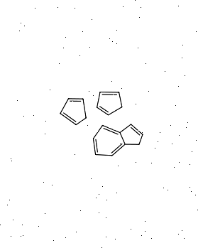 C1=CCC=C1.C1=CCC=C1.C1=Cc2ccccc2C1